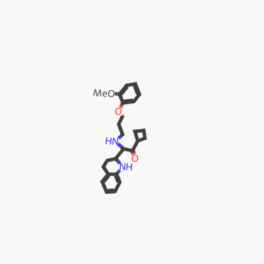 COc1ccccc1OCCCNC(C(=O)C1CCC1)C1CCc2ccccc2N1